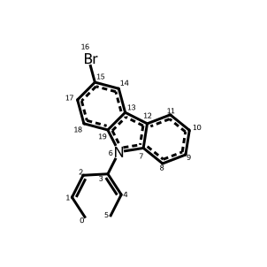 C/C=C\C(=C/C)n1c2ccccc2c2cc(Br)ccc21